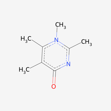 Cc1c(C)n(C)c(C)nc1=O